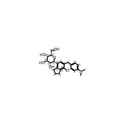 CN(C)c1ccc(Cc2cc([C@@H]3O[C@H](CO)[C@@H](O)[C@H](O)[C@H]3O)c3c(c2Cl)CCC3)cc1